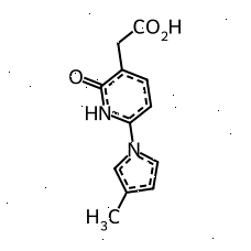 Cc1ccn(-c2ccc(CC(=O)O)c(=O)[nH]2)c1